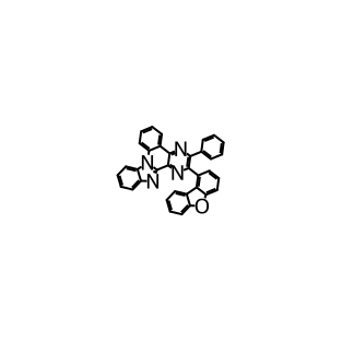 c1ccc(-c2nc3c4ccccc4n4c5ccccc5nc4c3nc2-c2cccc3oc4ccccc4c23)cc1